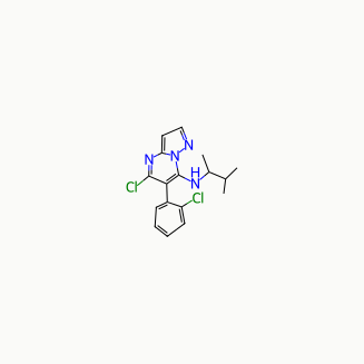 CC(C)C(C)Nc1c(-c2ccccc2Cl)c(Cl)nc2ccnn12